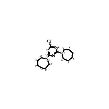 Clc1nc(N2CCCCCC2)nc(N2CCCCCC2)n1